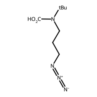 CC(C)(C)N(CCCN=[N+]=[N-])C(=O)O